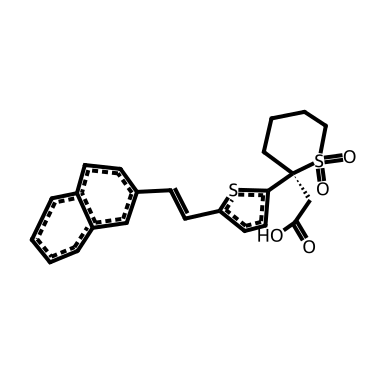 O=C(O)C[C@]1(c2ccc(C=Cc3ccc4ccccc4c3)s2)CCCCS1(=O)=O